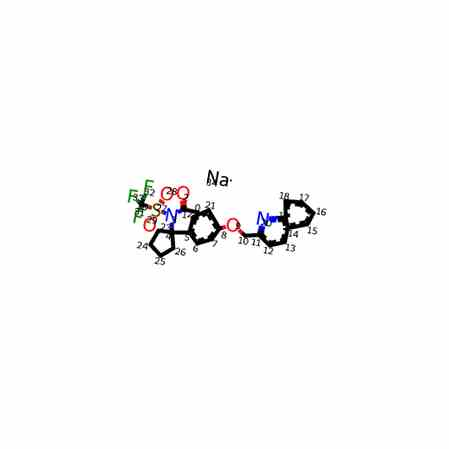 CC(=O)N(C1(c2ccc(OCc3ccc4ccccc4n3)cc2)CCCC1)S(=O)(=O)C(F)(F)F.[Na]